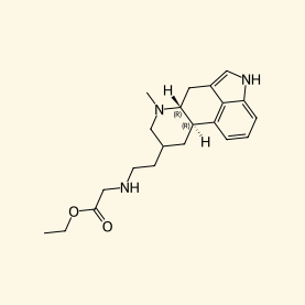 CCOC(=O)CNCCC1C[C@@H]2c3cccc4[nH]cc(c34)C[C@H]2N(C)C1